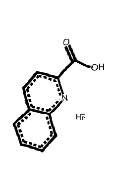 F.O=C(O)c1ccc2ccccc2n1